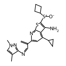 C=C(/C=N\c1nn(C)cc1C)c1cc(C2CC2)c2c(N)c([S+]([O-])C3CCC3)sc2n1